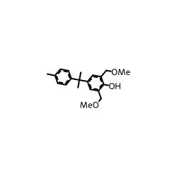 COCc1cc(C(C)(C)c2ccc(C)cc2)cc(COC)c1O